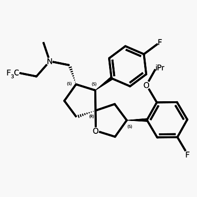 CC(C)Oc1ccc(F)cc1[C@H]1CO[C@]2(CC[C@H](CN(C)CC(F)(F)F)[C@H]2c2ccc(F)cc2)C1